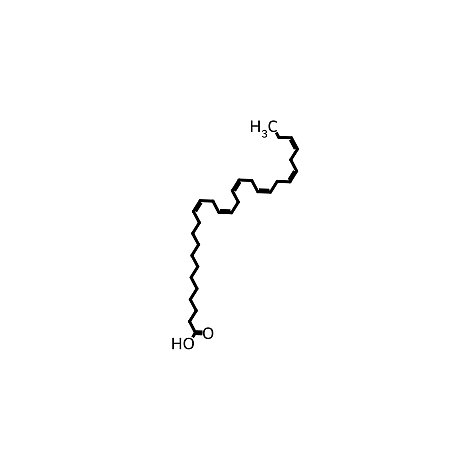 CC/C=C\C/C=C\C/C=C\C/C=C\C/C=C\C/C=C\CCCCCCCCCCC(=O)O